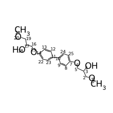 COCC(O)COc1ccc(-c2ccc(OCC(O)COC)cc2)cc1